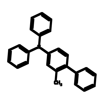 Cc1cc(N(c2ccccc2)c2ccccc2)ccc1-c1ccccc1